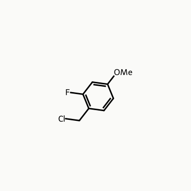 COc1ccc(CCl)c(F)c1